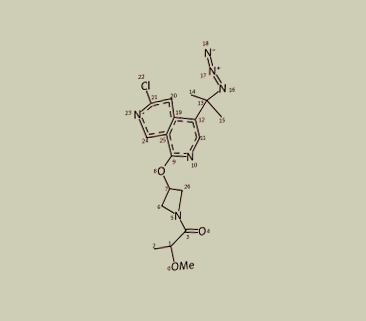 COC(C)C(=O)N1CC(Oc2ncc(C(C)(C)N=[N+]=[N-])c3cc(Cl)ncc23)C1